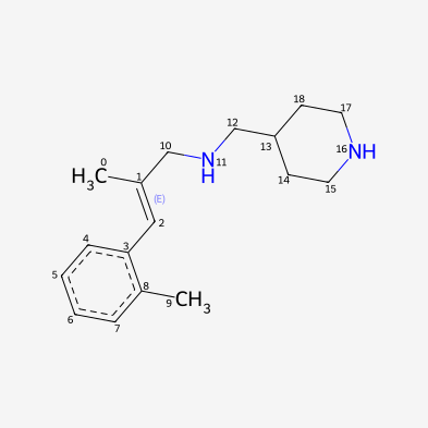 C/C(=C\c1ccccc1C)CNCC1CCNCC1